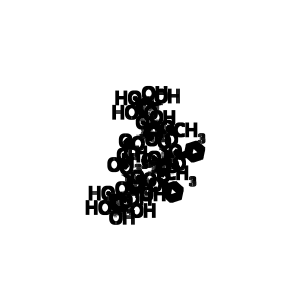 CO[C@@H]([C@H](OC)[C@@H](CO[C@@H]1O[C@H](COC(C)=O)[C@@H](O[C@@H]2O[C@H](CO)[C@H](O)[C@H](O)[C@H]2O)[C@H](O)[C@H]1OC(C)=O)OC(=O)c1ccccc1)[C@@H](CO[C@@H]1O[C@H](COC(C)=O)[C@@H](O[C@@H]2O[C@H](CO)[C@H](O)[C@H](O)[C@H]2O)[C@H](O)[C@H]1O)OC(=O)c1ccccc1